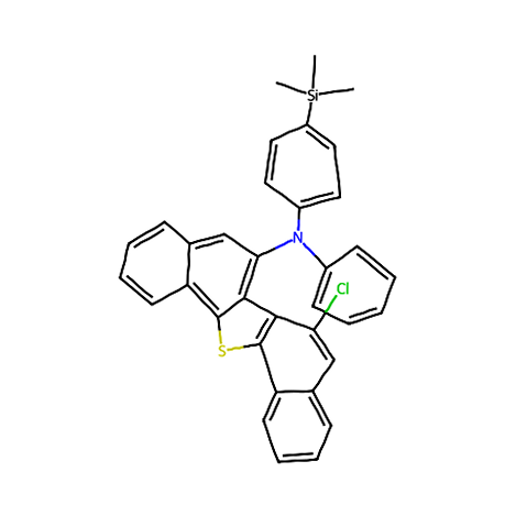 C[Si](C)(C)c1ccc(N(c2ccccc2)c2cc3ccccc3c3sc4c5ccccc5cc(Cl)c4c23)cc1